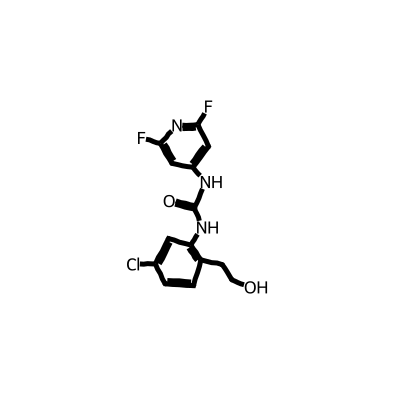 O=C(Nc1cc(F)nc(F)c1)Nc1cc(Cl)ccc1CCO